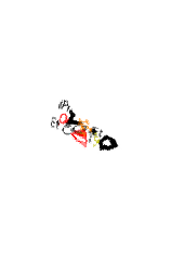 CCOC(=O)C(CC(C)C)(C[PH](=O)CSc1ccccc1)OCC